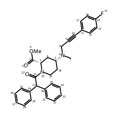 COC(=O)[C@@H]1C[C@H](N(C)CC#Cc2ccc(F)cc2)CCN1C(=O)C(c1ccccc1)c1ccccc1